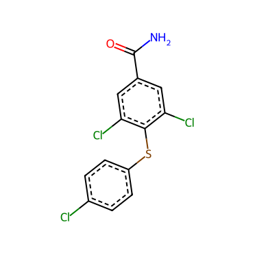 NC(=O)c1cc(Cl)c(Sc2ccc(Cl)cc2)c(Cl)c1